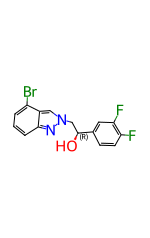 O[C@@H](Cn1cc2c(Br)cccc2n1)c1ccc(F)c(F)c1